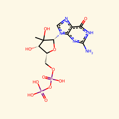 CC1(O)[C@@H](O)[C@@H](COP(=O)(O)OP(=O)(O)O)O[C@H]1n1cnc2c(=O)[nH]c(N)nc21